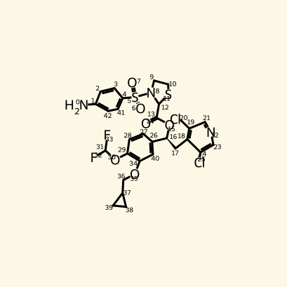 Nc1ccc(S(=O)(=O)N2CCSC2C(=O)O[C@@H](Cc2c(Cl)cncc2Cl)c2ccc(OC(F)F)c(OCC3CC3)c2)cc1